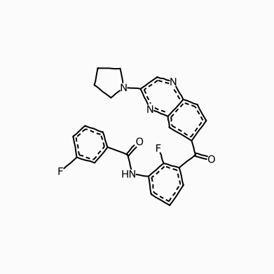 O=C(Nc1cccc(C(=O)c2ccc3ncc(N4CCCC4)nc3c2)c1F)c1cccc(F)c1